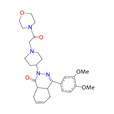 COc1ccc(C2=NN(C3CCN(CC(=O)N4CCOCC4)CC3)C(=O)C3CC=CCC23)cc1OC